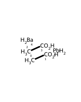 CC(=O)O.CC(=O)O.[BaH2].[PbH2]